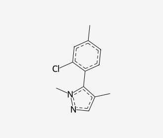 Cc1ccc(-c2c(C)cnn2C)c(Cl)c1